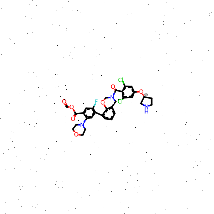 O=COC(=O)c1cc(F)c(-c2cccc3c2OCN(C(=O)c2c(Cl)cc(O[C@H]4CCNC4)cc2Cl)C3)cc1N1CCOCC1